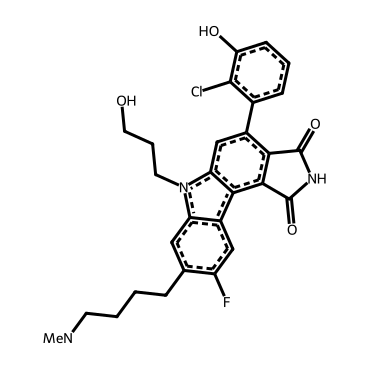 CNCCCCc1cc2c(cc1F)c1c3c(c(-c4cccc(O)c4Cl)cc1n2CCCO)C(=O)NC3=O